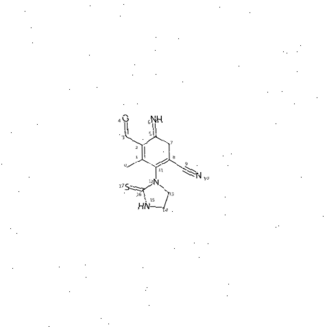 CC1=C(C=O)C(=N)CC(C#N)=C1N1CCNC1=S